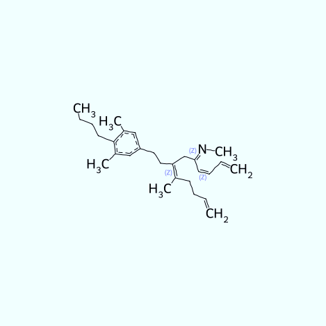 C=C/C=C\C(C/C(CCc1cc(C)c(CCCC)c(C)c1)=C(/C)CCC=C)=N/C